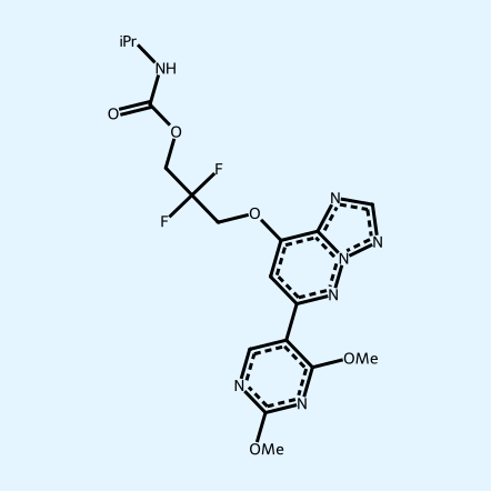 COc1ncc(-c2cc(OCC(F)(F)COC(=O)NC(C)C)c3ncnn3n2)c(OC)n1